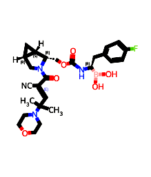 CC(C)(/C=C(\C#N)C(=O)N1C[C@@H]2C[C@@H]2[C@@H]1COC(=O)N[C@@H](Cc1ccc(F)cc1)B(O)O)N1CCOCC1